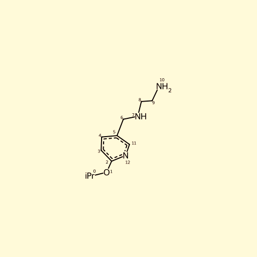 CC(C)Oc1ccc(CNCCN)cn1